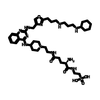 N[C@@H](CCC(=O)NCCN1CCC(Nc2nc(NCc3coc(CCCNCCCNC4CCCCC4)n3)nc3ccccc23)CC1)C(=O)NCCP(=O)(O)O